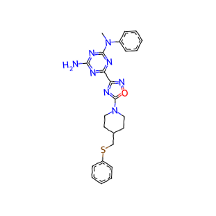 CN(c1ccccc1)c1nc(N)nc(-c2noc(N3CCC(CSc4ccccc4)CC3)n2)n1